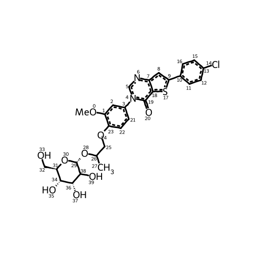 COc1cc(-n2cnc3cc(-c4ccc(Cl)cc4)sc3c2=O)ccc1OCC(C)O[C@H]1O[C@H](CO)[C@@H](O)[C@@H](O)C1O